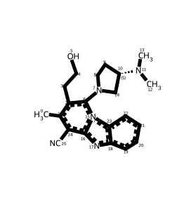 Cc1c(CCO)c(N2CC[C@H](N(C)C)C2)n2c(nc3ccccc32)c1C#N